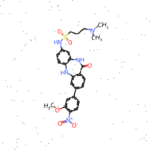 COc1cc(-c2ccc3c(c2)Nc2ccc(NS(=O)(=O)CCCN(C)C)cc2NC3=O)ccc1[N+](=O)[O-]